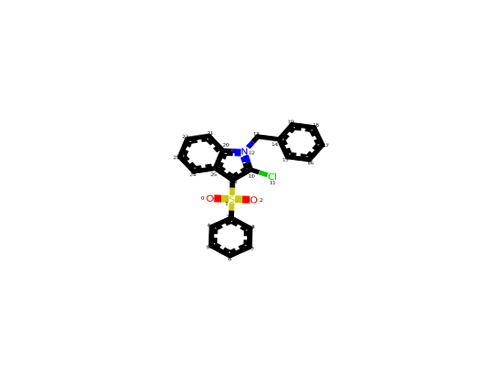 O=S(=O)(c1ccccc1)c1c(Cl)n(Cc2ccccc2)c2ccccc12